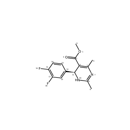 COC(=O)C1=C(C)N=C(C)N[C@H]1c1ccc(F)c(F)c1